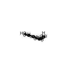 O=C(O)NCc1ccc(COC2CCC(NC(=O)NCc3ccc4c(c3)CN(C3CCC(=O)NC3=O)C4=O)CC2)cc1